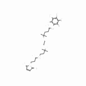 CC(C)(CCNC(=O)CCN1C(=O)C=CC1=O)OCCOC(C)(C)CCC(=O)Oc1c(F)c(F)c(F)c(F)c1F